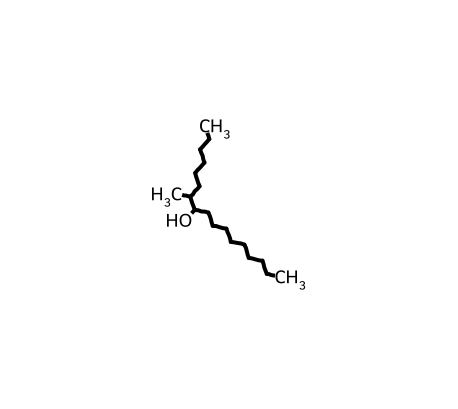 CCCCCCCCCC(O)C(C)CCCCCC